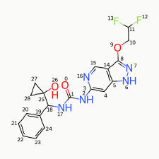 O=C(Nc1cc2[nH]nc(OCC(F)F)c2cn1)NC(c1ccccc1)C1(O)CC1